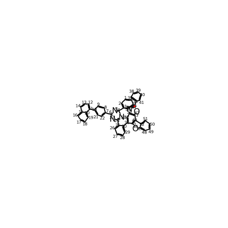 c1ccc(-c2nc(-c3ccc(-c4cccc5ccccc45)cc3)nc(-c3ccccc3-c3cc4nc(-c5ccccc5)oc4c4c3oc3ccccc34)n2)cc1